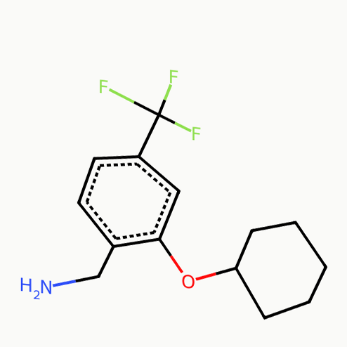 NCc1ccc(C(F)(F)F)cc1OC1CCCCC1